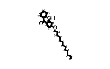 CCCCCCCCCCCCCOc1ccc(C(=O)c2ccccc2)c(O)c1